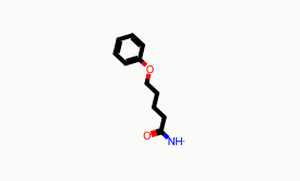 [NH]C(=O)CCCCOc1ccccc1